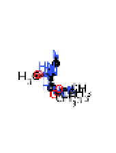 COCCNc1nc(Nc2cccc(C#N)c2)ncc1C#C[C@@H]1CCC[C@H](NC(=O)[C@H](C)N(C)C(=O)/C=C/CN(C)C)C1